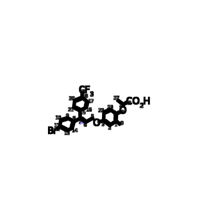 Cc1cc(OC/C=C(/c2ccc(Br)cc2)c2ccc(C(F)(F)F)cc2)ccc1OC(C)C(=O)O